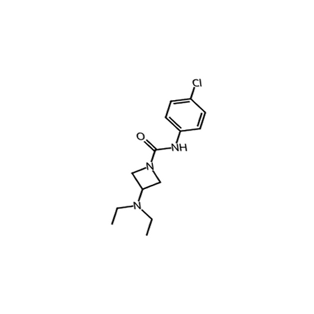 CCN(CC)C1CN(C(=O)Nc2ccc(Cl)cc2)C1